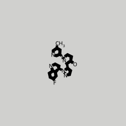 Cc1cncc(-n2ccc(=O)c(-c3ccnn3-c3ccnc4ccc(F)cc34)n2)c1